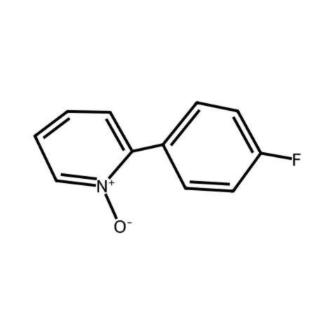 [O-][n+]1ccccc1-c1ccc(F)cc1